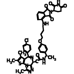 Cc1sc2c(c1C)C(c1ccc(Cl)cc1)=N[C@@H](CC(=O)N[C@@H](C)c1ccc(OCCCCNc3cccc4c3C(=O)N(C3CCC(=O)NC3=O)C4=O)cc1)c1nnc(C)n1-2